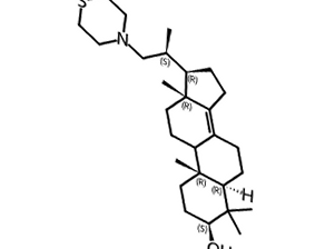 C[C@H](CN1CCSCC1)[C@H]1CCC2=C3CC[C@H]4C(C)(C)[C@@H](O)CC[C@]4(C)C3CC[C@@]21C